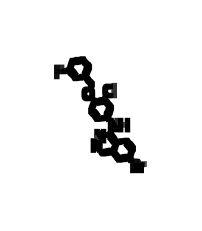 Fc1cccc(COc2ccc(Nc3nncc4cc(Br)ccc34)cc2Cl)c1